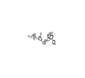 CS(=O)(=O)NCc1cc(F)cc(-c2ccnc3[nH]c(-c4n[nH]c5ccc(-c6ccncc6)cc45)cc23)c1